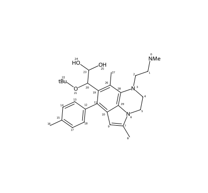 CNCCN1CCn2c(C)cc3c(-c4ccc(C)cc4)c(C(OC(C)(C)C)C(O)O)c(C)c1c32